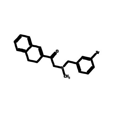 CN(CC(=O)C1=Cc2ccccc2CC1)Cc1cccc(Br)c1